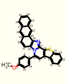 COc1ccc(-c2cc3c4ccccc4sc3c3nc4c5cc6ccccc6cc5ccc4n23)cc1